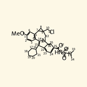 COc1ccc2c(c1)C1CC1(CCl)Cn1c-2c(C2CCCCC2)c2ccc(C(=O)NS(=O)(=O)N(C)C)cc21